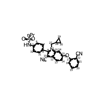 CCCS(=O)(=O)Nc1ccc(-c2c(C#N)c3ccc(Oc4ccccc4C#N)cc3n2CC2CC2)cc1